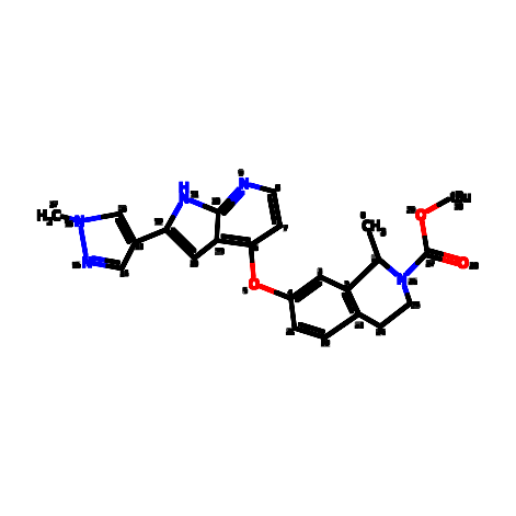 CC1c2cc(Oc3ccnc4[nH]c(-c5cnn(C)c5)cc34)ccc2CCN1C(=O)OC(C)(C)C